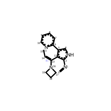 C=Nc1[nH]cc(-c2ccccn2)c1/C(=C\C)N1CCC1